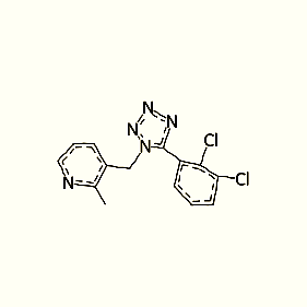 Cc1ncccc1Cn1nnnc1-c1cccc(Cl)c1Cl